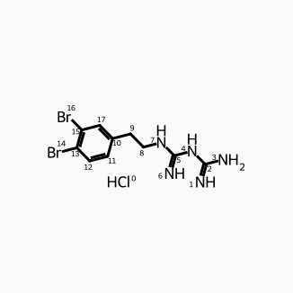 Cl.N=C(N)NC(=N)NCCc1ccc(Br)c(Br)c1